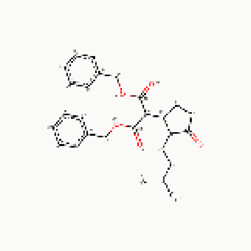 CC(C)CCC1C(=O)CCC1C(C(=O)OCc1ccccc1)C(=O)OCc1ccccc1